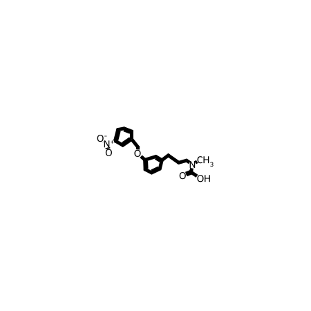 CN(CCCc1cccc(OCc2cccc([N+](=O)[O-])c2)c1)C(=O)O